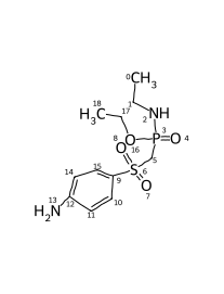 CCNP(=O)(CS(=O)(=O)c1ccc(N)cc1)OCC